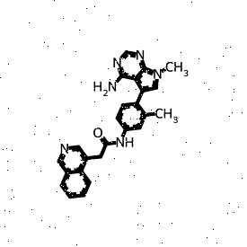 Cc1cc(NC(=O)Cc2cncc3ccccc23)ccc1-c1cn(C)c2ncnc(N)c12